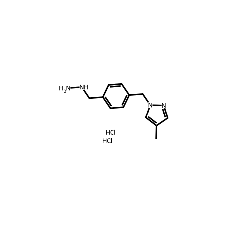 Cc1cnn(Cc2ccc(CNN)cc2)c1.Cl.Cl